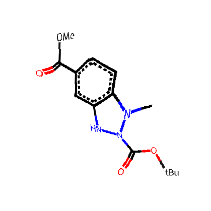 COC(=O)c1ccc2c(c1)NN(C(=O)OC(C)(C)C)N2C